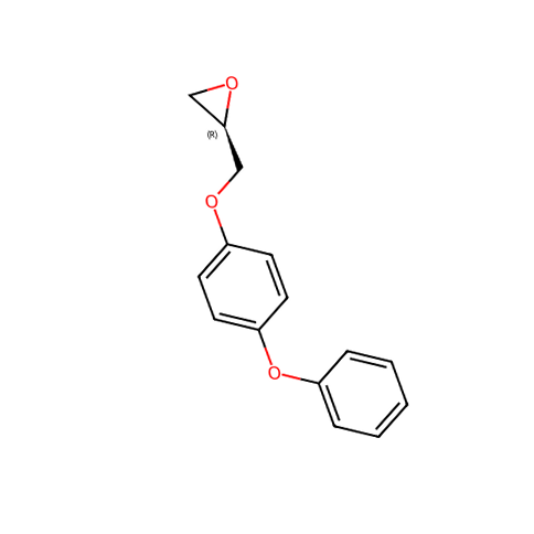 c1ccc(Oc2ccc(OC[C@H]3CO3)cc2)cc1